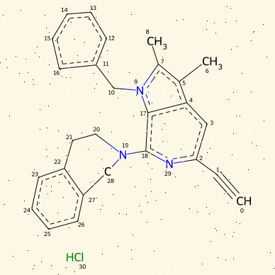 C#Cc1cc2c(C)c(C)n(Cc3ccccc3)c2c(N2CCc3ccccc3C2)n1.Cl